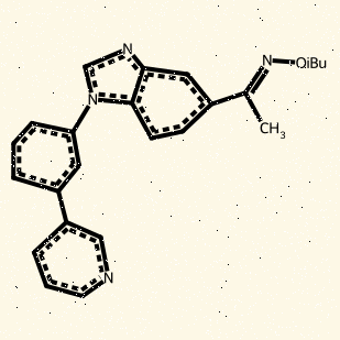 CC(=NOCC(C)C)c1ccc2c(c1)ncn2-c1cccc(-c2cccnc2)c1